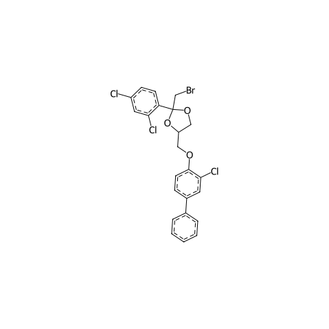 Clc1ccc(C2(CBr)OCC(COc3ccc(-c4ccccc4)cc3Cl)O2)c(Cl)c1